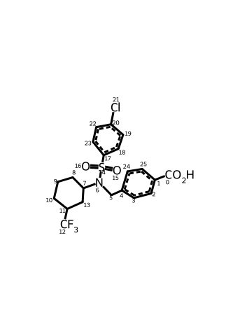 O=C(O)c1ccc(CN(C2CCCC(C(F)(F)F)C2)S(=O)(=O)c2ccc(Cl)cc2)cc1